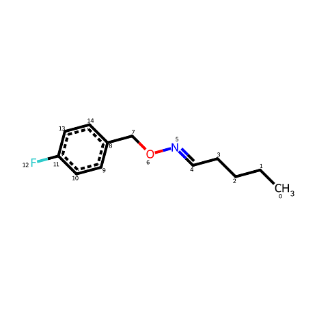 CCCCC=NOCc1ccc(F)cc1